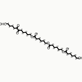 O=CCCCCC(=O)C(=O)CCCCCOC(=O)CCCCCOC(=O)CCCCCOC(=O)CCCCCO